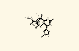 Cc1nc(-c2cnn(C)c2)c2c(n1)[C@H]1CN(C(=O)OC(C)(C)C)[C@H](C2)[C@@H](C)C[C@H]1C